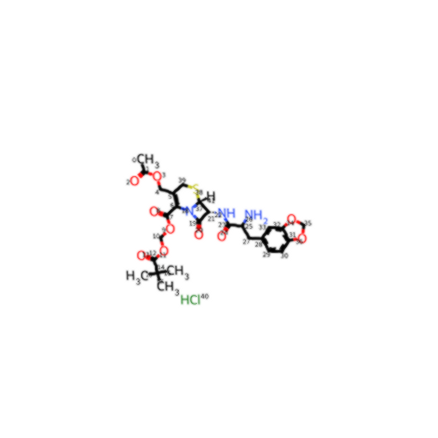 CC(=O)OCC1=C(C(=O)OCOC(=O)C(C)(C)C)N2C(=O)[C@@H](NC(=O)C(N)Cc3ccc4c(c3)OCO4)[C@H]2SC1.Cl